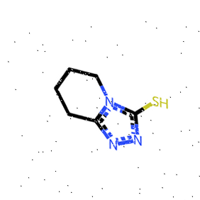 Sc1nnc2n1CCCC2